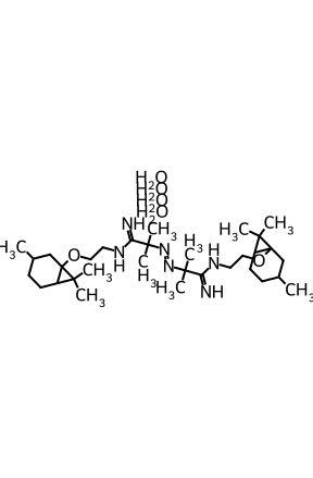 CC1CCC2C(C)(C)C2(OCCNC(=N)C(C)(C)N=NC(C)(C)C(=N)NCCOC23CC(C)CCC2C3(C)C)C1.O.O.O.O